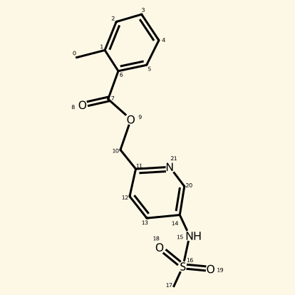 Cc1ccccc1C(=O)OCc1ccc(NS(C)(=O)=O)cn1